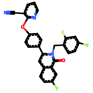 N#Cc1cccnc1Oc1ccc(-c2cc3ccc(F)cc3c(=O)n2Cc2ccc(F)cc2F)cc1